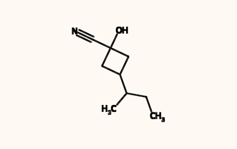 CCC(C)C1CC(O)(C#N)C1